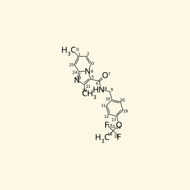 Cc1ccn2c(C(=O)NCc3ccc(OC(C)(F)F)cc3)c(C)nc2c1